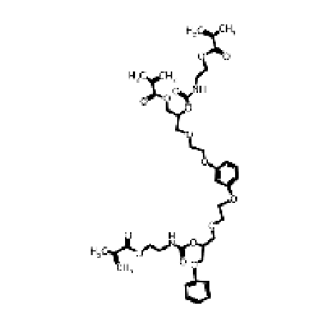 C=C(C)C(=O)OCCNC(=O)OC(COCCOc1cccc(OCCOCC(COc2ccccc2)OC(=O)NCCOC(=O)C(=C)C)c1)COC(=O)C(=C)C